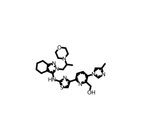 Cc1cn(-c2ccc(-c3csc(Nc4c5c(nn4CC(C)N4CCOCC4)CCCC5)n3)nc2CO)cn1